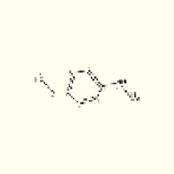 NNc1ccc(CO)cc1